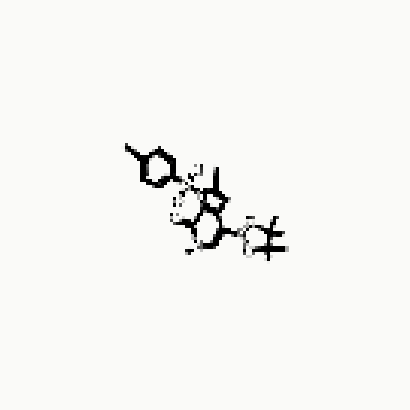 Cc1ccc(S(=O)(=O)n2c(C)cc3c(B4OC(C)(C)C(C)(C)O4)cn(C)c(=O)c32)cc1